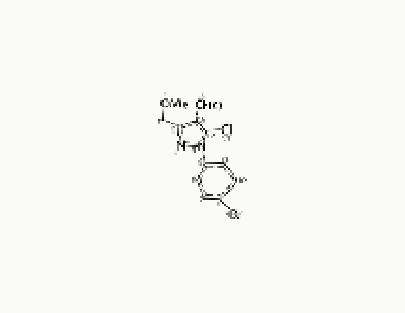 COCc1nn(-c2ccc(Br)cc2)c(Cl)c1C=O